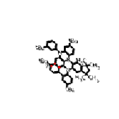 CC(C)c1cc2c3c(c1)N(c1ccc(C(C)(C)C)cc1-c1ccc(C(C)(C)C)cc1)c1cc4c(cc1B3c1ccc(C(C)(C)C)cc1N2c1cccc(C(C)(C)C)c1)C(C)(C)CC4(C)C